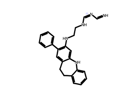 N=C/N=C\NCCNc1cc2c(cc1-c1ccccc1)CCc1ccccc1N2